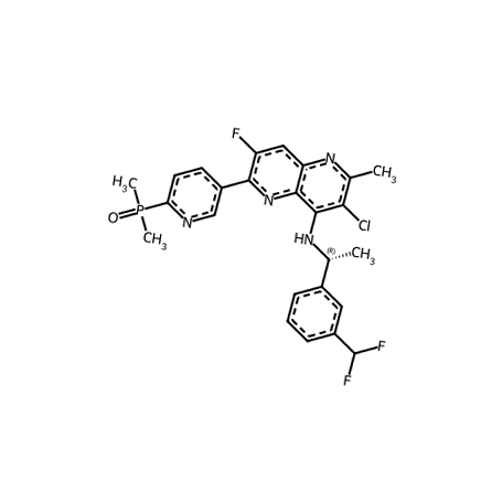 Cc1nc2cc(F)c(-c3ccc(P(C)(C)=O)nc3)nc2c(N[C@H](C)c2cccc(C(F)F)c2)c1Cl